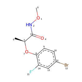 CONC(=O)[C@H](C)Oc1ccc(Br)cc1F